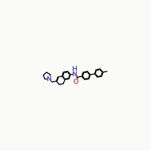 Cc1ccc(-c2ccc(C(=O)Nc3ccc4c(c3)CCC(CN3CCCC3)=C4)cc2)cc1